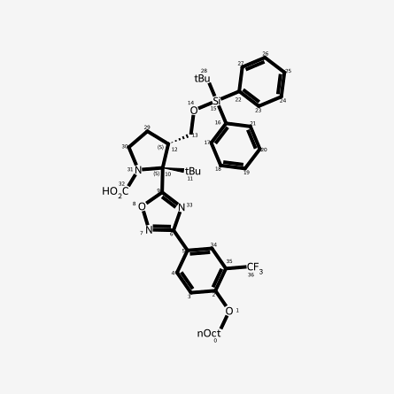 CCCCCCCCOc1ccc(-c2noc([C@@]3(C(C)(C)C)[C@@H](CO[Si](c4ccccc4)(c4ccccc4)C(C)(C)C)CCN3C(=O)O)n2)cc1C(F)(F)F